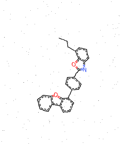 CCCc1cccc2nc(-c3ccc(-c4cccc5c4oc4ccccc45)cc3)oc12